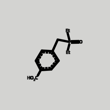 CCP(=O)(CC)Cc1ccc(C(=O)O)cc1